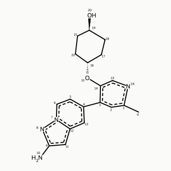 Cc1cc(-c2ccn3nc(N)cc3c2)c(O[C@H]2CC[C@H](O)CC2)cn1